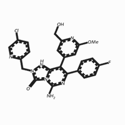 COc1cc(-c2c(-c3ccc(F)cc3)nc(N)[n+]3c(=O)n(Cc4ccc(Cl)cn4)[nH]c23)cc(CO)n1